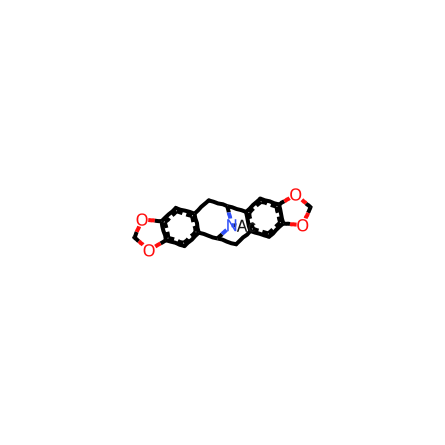 CC(=O)N1C2Cc3cc4c(cc3C1Cc1cc3c(cc12)OCO3)OCO4